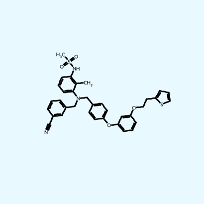 Cc1c(NS(C)(=O)=O)cccc1N(Cc1ccc(Oc2cccc(OCCc3cccs3)c2)cc1)Cc1cccc(C#N)c1